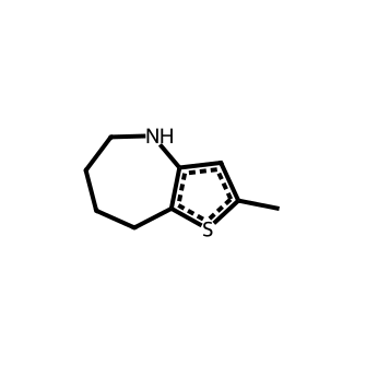 Cc1cc2c(s1)CCCCN2